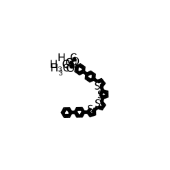 CO[Si](OC)(OC)c1ccc(-c2ccc(-c3ccc(-c4ccc(-c5ccc(-c6ccc(-c7ccc(-c8ccccc8)cc7)s6)s5)s4)s3)cc2)cc1